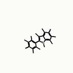 Cc1c(C)c(C)c(-c2c(C)c3c(C)c(C)c(C)c(C)c3n2C)c(C)c1C